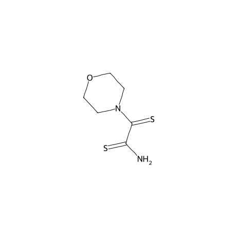 NC(=S)C(=S)N1CCOCC1